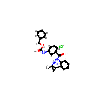 CCC1(N)CC1c1ccccc1NC(=O)c1cccc(NC(=O)OCc2ccccc2)c1.Cl